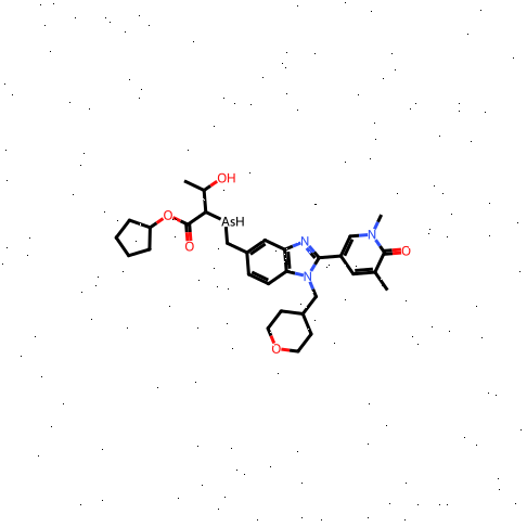 Cc1cc(-c2nc3cc(C[AsH]C(C(=O)OC4CCCC4)C(C)O)ccc3n2CC2CCOCC2)cn(C)c1=O